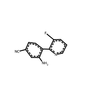 N#Cc1ccc(-c2ncccc2F)c(N)c1